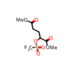 COC(=O)CCC(OS(=O)(=O)C(F)(F)F)C(=O)OC